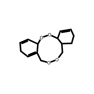 C1=CC2OOC3C=CCCC3COOCC2=CC1